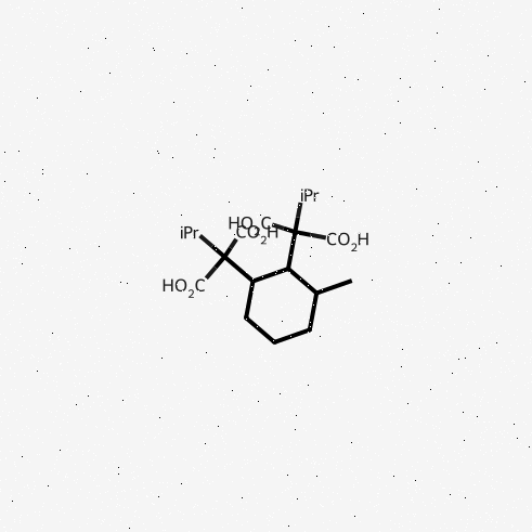 CC1CCCC(C(C(=O)O)(C(=O)O)C(C)C)C1C(C(=O)O)(C(=O)O)C(C)C